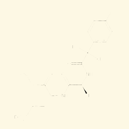 CCOC(=O)CC[C@@H](NC(=O)[C@@H](NC(=O)C(C)(C)c1ccc(Cl)cc1)C(C)C)C(=O)OC(C)(C)C